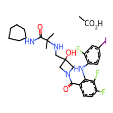 CC(=O)O.CC(C)(NCC1(O)CN(C(=O)c2ccc(F)c(F)c2Nc2ccc(I)cc2F)C1)C(=O)NC1CCCCC1